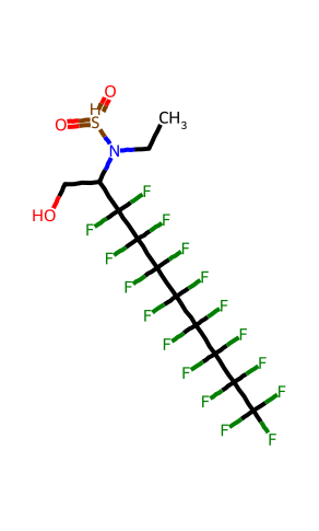 CCN(C(CO)C(F)(F)C(F)(F)C(F)(F)C(F)(F)C(F)(F)C(F)(F)C(F)(F)C(F)(F)F)[SH](=O)=O